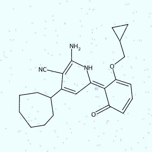 N#CC1=C(N)N/C(=C2/C(=O)C=CC=C2OCC2CC2)C=C1C1CCCCCC1